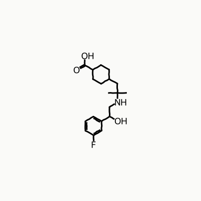 CC(C)(CC1CCC(C(=O)O)CC1)NCC(O)c1cccc(F)c1